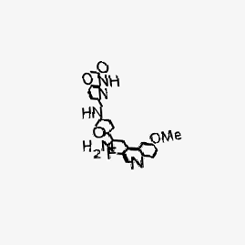 COc1ccc2ncc(F)c(C[C@@H](N)[C@@H]3CC[C@@H](NCc4ccc5c(n4)NC(=O)CO5)CO3)c2c1